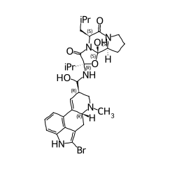 CC(C)C[C@H]1C(=O)N2CCC[C@H]2[C@]2(O)O[C@](NC(O)[C@@H]3C=C4c5cccc6[nH]c(Br)c(c56)C[C@H]4N(C)C3)(C(C)C)C(=O)N12